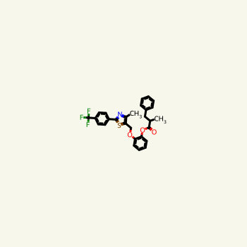 Cc1nc(-c2ccc(C(F)(F)F)cc2)sc1COc1ccccc1OC(=O)C(C)Cc1ccccc1